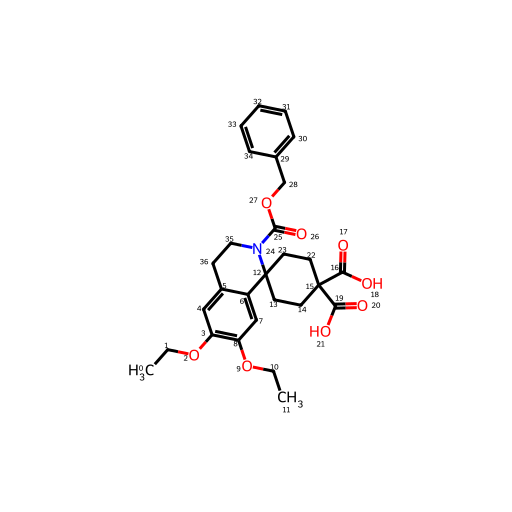 CCOc1cc2c(cc1OCC)C1(CCC(C(=O)O)(C(=O)O)CC1)N(C(=O)OCc1ccccc1)CC2